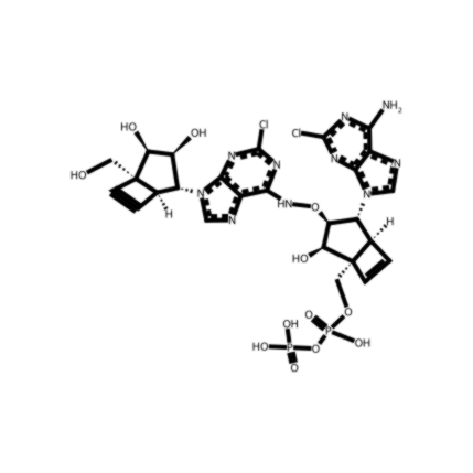 Nc1nc(Cl)nc2c1ncn2[C@H]1[C@H](ONc2nc(Cl)nc3c2ncn3[C@H]2[C@H](O)[C@H](O)[C@]3(CO)C#C[C@H]23)[C@H](O)[C@]2(COP(=O)(O)OP(=O)(O)O)C=C[C@H]12